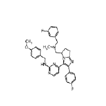 COc1ccc(CNc2nccc(-c3c(-c4ccc(F)cc4)nc4n3C(CN(C)Cc3cccc(F)c3)CC4)n2)cc1